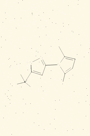 Cc1ccc(C)n1-c1cc(C(F)(F)F)[nH]n1